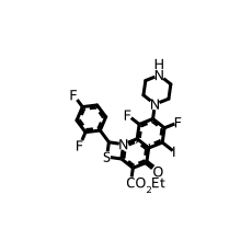 CCOC(=O)c1c2n(c3c(F)c(N4CCNCC4)c(F)c(I)c3c1=O)C(c1ccc(F)cc1F)S2